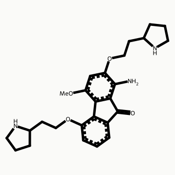 COc1cc(OCCC2CCCN2)c(N)c2c1-c1c(OCCC3CCCN3)cccc1C2=O